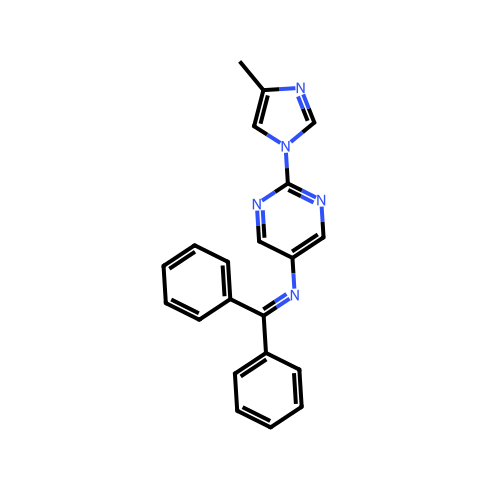 Cc1cn(-c2ncc(N=C(c3ccccc3)c3ccccc3)cn2)cn1